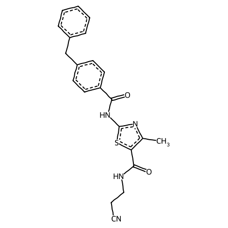 Cc1nc(NC(=O)c2ccc(Cc3ccccc3)cc2)sc1C(=O)NCCC#N